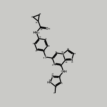 Cc1cc(Nc2nc(Sc3ccc(NC(=O)C4CC4)cc3)cn3ccnc23)n[nH]1